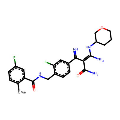 COc1ccc(F)cc1C(=O)NCc1ccc(C(=N)/C(C(N)=O)=C(/N)NC2CCCOC2)cc1F